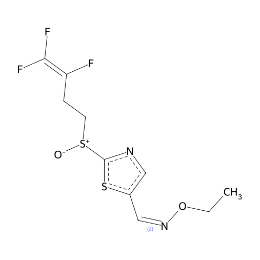 CCO/N=C\c1cnc([S+]([O-])CCC(F)=C(F)F)s1